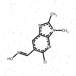 Cc1nc2cc(C=NO)c(Cl)nc2n1C